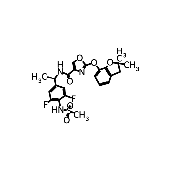 C[C@@H](NC(=O)c1coc(Oc2cccc3c2OC(C)(C)C3)n1)c1cc(F)c(NS(C)(=O)=O)c(F)c1